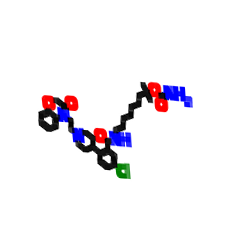 CC(C)(CCCCCCCNC(=O)c1cc(Cl)ccc1C1CCN(CCN2C(=O)COc3ccccc32)CC1)OC(N)=O